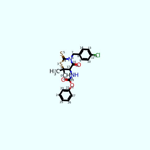 CC1(C)SC(=S)N(Cc2ccc(Cl)cc2)C(=O)C1NC(=O)Oc1ccccc1